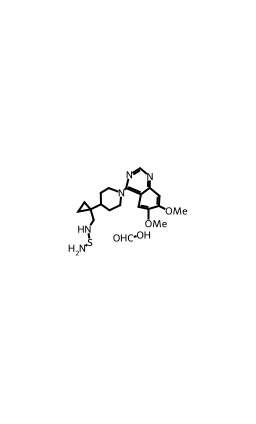 COc1cc2ncnc(N3CCC(C4(CNSN)CC4)CC3)c2cc1OC.O=CO